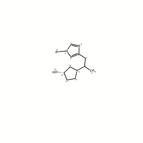 CC(Cc1cn(C(C)C)cn1)N1CC[C@H](O)C1